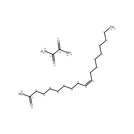 CCCCCCCC/C=C\CCCCCCCC(=O)O.NC(=O)C(N)=O